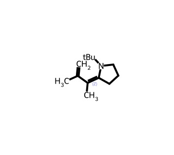 C=C(C)/C(C)=C1/CCCN1C(C)(C)C